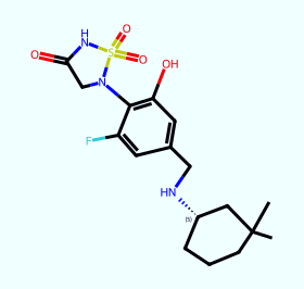 CC1(C)CCC[C@H](NCc2cc(O)c(N3CC(=O)NS3(=O)=O)c(F)c2)C1